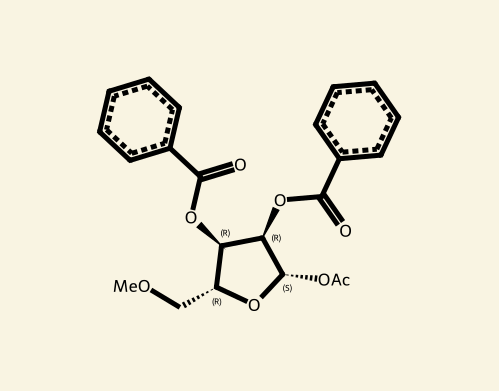 COC[C@H]1O[C@@H](OC(C)=O)[C@H](OC(=O)c2ccccc2)[C@@H]1OC(=O)c1ccccc1